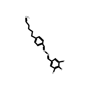 C=CCCCCc1ccc(C=NN=Cc2cc(F)c(F)c(F)c2)cc1